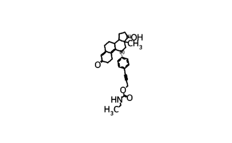 CCNC(=O)OCC#Cc1ccc([C@H]2CC3(C)C(CC[C@@H]3O)C3CCC4=CC(=O)CCC4=C32)cc1